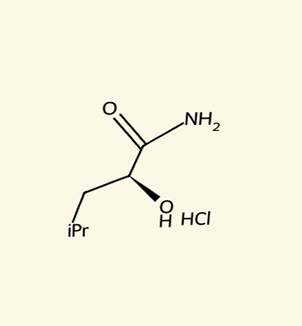 CC(C)C[C@H](O)C(N)=O.Cl